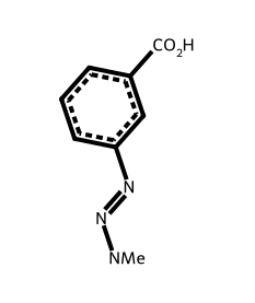 CN/N=N/c1cccc(C(=O)O)c1